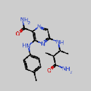 Cc1ccc(Nc2nc(NC(C)C(C)C(N)=O)cnc2C(N)=O)cc1